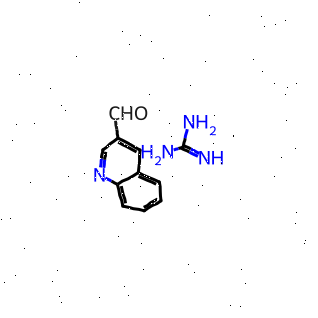 N=C(N)N.O=Cc1cnc2ccccc2c1